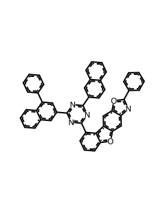 c1ccc(-c2nc3cc4oc5cccc(-c6nc(-c7ccc8ccccc8c7)nc(-c7cc(-c8ccccc8)c8ccccc8c7)n6)c5c4cc3o2)cc1